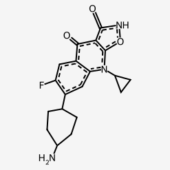 NC1CCC(c2cc3c(cc2F)c(=O)c2c(=O)[nH]oc2n3C2CC2)CC1